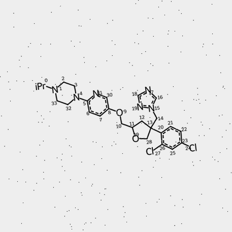 CC(C)N1CCN(c2ccc(OCC3CC(Cn4cncn4)(c4ccc(Cl)cc4Cl)CO3)cn2)CC1